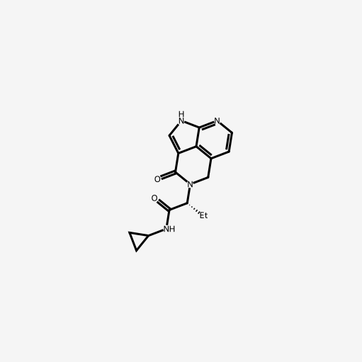 CC[C@H](C(=O)NC1CC1)N1Cc2ccnc3[nH]cc(c23)C1=O